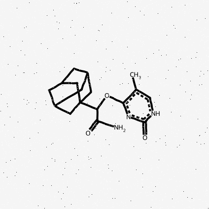 Cc1c[nH]c(=O)nc1OC(C(N)=O)C12CC3CC(CC(C3)C1)C2